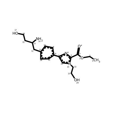 CCOC(=O)c1nc(-c2ccc(CC(N)CCO)cc2)cn1CCO